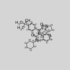 CC1(C(=O)N(c2ccc(C(C)(C)C)cc2)C(C(=O)NC2CCCCC2)c2cccnc2)CCCN1